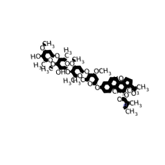 C/C=C(\C)C(=O)OC1CC2C(CC=C3CC(O[C@H]4CC(OC)[C@H](O[C@H]5CC(OC)[C@H](O[C@@H]6OC(C)[C@@H](O[C@H]7CC(OC)[C@H](O)C(C)O7)C(OC)[C@@H]6O)C(C)O5)C(C)O4)CCC32C)C2(O)CCC(C(C)=O)C12C